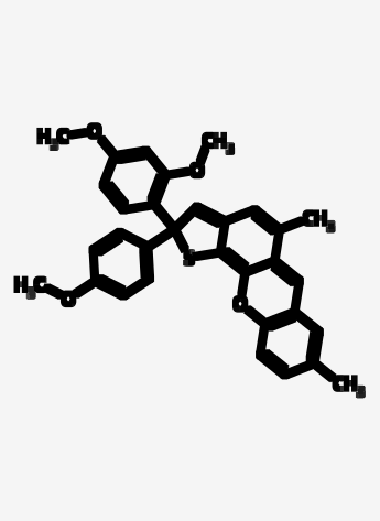 COc1ccc(C2(c3ccc(OC)cc3OC)C=c3cc(C)c4c(c3S2)Oc2ccc(C)cc2C=4)cc1